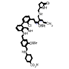 C=C/C=C(CNCC1CCC(=O)N1)\C(=C/Cc1cccc(-c2cccc(NCc3ccc(CNC4CCC(C(=O)O)CC4)c(OC)c3)c2C=N)c1Cl)OC